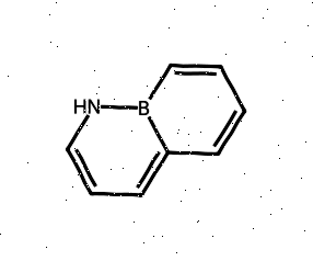 C1=CNB2C=CC=CC2=C1